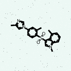 Cc1cn(-c2ccc(S(=O)(=O)c3cn(C)c4cccc(C)c34)c(C)c2)cn1